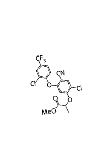 COC(=O)C(C)Oc1cc(Oc2ccc(C(F)(F)F)cc2Cl)c(C#N)cc1Cl